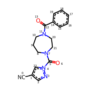 N#Cc1cnn(C(=O)N2CCCN(C(=O)c3ccccc3)CC2)c1